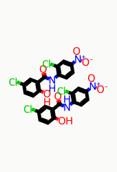 O=C(Nc1ccc([N+](=O)[O-])cc1Cl)c1cc(Cl)ccc1O.O=C(Nc1ccc([N+](=O)[O-])cc1Cl)c1cc(Cl)ccc1O